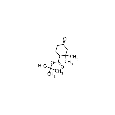 CC(C)(C)OC(=O)C1CCC(=O)CC1(C)C